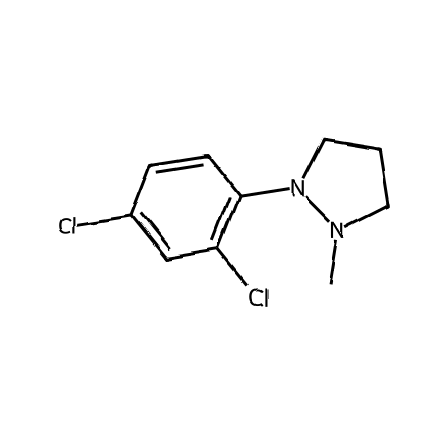 CN1CCCN1c1ccc(Cl)cc1Cl